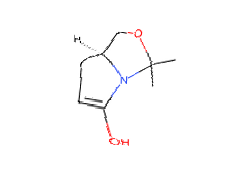 CC1(C)OC[C@@H]2CC=C(O)N21